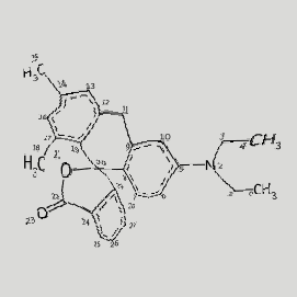 CCN(CC)c1ccc2c(c1)Cc1cc(C)cc(C)c1C21OC(=O)c2ccccc21